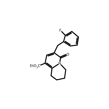 CCOC(=O)c1cc(Cc2ccccc2F)c(=O)n2c1CCCC2